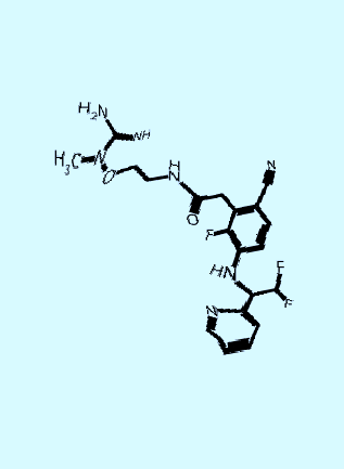 CN(OCCNC(=O)Cc1c(C#N)ccc(NC(c2ccccn2)C(F)F)c1F)C(=N)N